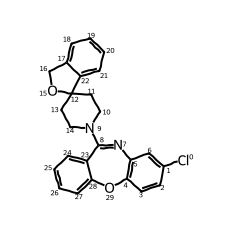 Clc1ccc2c(c1)N=C(N1CCC3(CC1)OCc1ccccc13)c1ccccc1O2